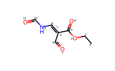 CCOC(=O)/C(C=O)=C/NC=O